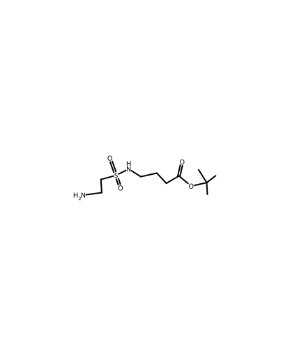 CC(C)(C)OC(=O)CCCNS(=O)(=O)CCN